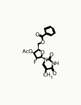 CC(=O)O[C@H]1[C@H](F)[C@H](n2cc(C)c(=O)[nH]c2=O)O[C@@H]1COC(=O)c1ccccc1